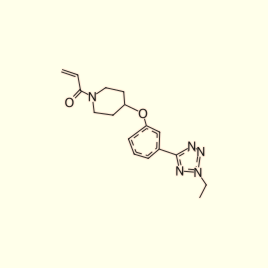 C=CC(=O)N1CCC(Oc2cccc(-c3nnn(CC)n3)c2)CC1